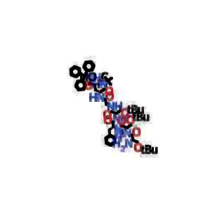 C[C@@H](OC(C)(C)C)[C@H](NC(=O)[C@H](Cc1ccccc1)NC(=O)[C@@H](NC(=O)[C@@H](N)COC(C)(C)C)[C@@H](C)OC(C)(C)C)C(=O)NCC(=O)N[C@@H](CCC(=O)NC(c1ccccc1)(c1ccccc1)c1ccccc1)C(=O)NC(C)(C)C(=O)O